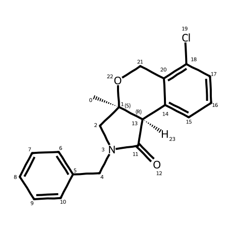 C[C@@]12CN(Cc3ccccc3)C(=O)[C@@H]1c1cccc(Cl)c1CO2